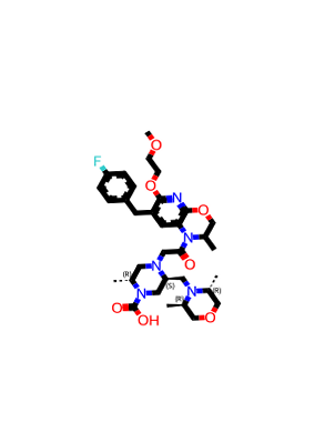 COCCOc1nc2c(cc1Cc1ccc(F)cc1)N(C(=O)CN1C[C@@H](C)N(C(=O)O)C[C@@H]1CN1[C@H](C)COC[C@H]1C)C(C)CO2